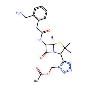 CC(C)(C)C(=O)OCn1nnnc1C1N2C(=O)C(NC(=O)Cc3ccccc3CN)[C@H]2SC1(C)C